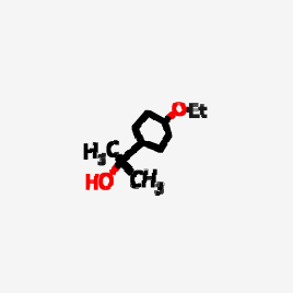 CCOC1CCC(C(C)(C)O)CC1